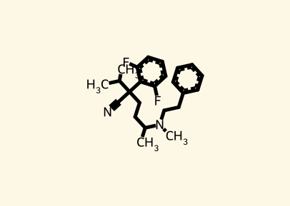 CC(CCC(C#N)(c1c(F)cccc1F)C(C)C)N(C)CCc1ccccc1